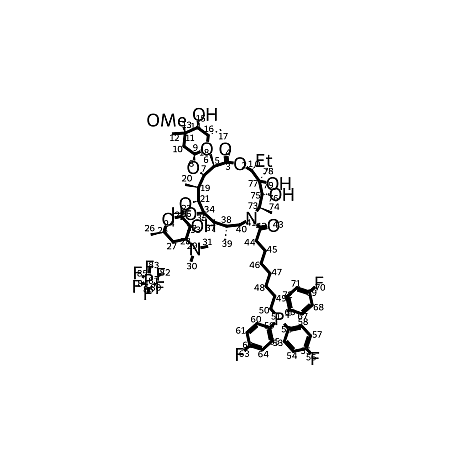 CC[C@H]1OC(=O)[C@H](C)[C@@H](O[C@H]2C[C@@](C)(OC)[C@@H](O)[C@H](C)O2)[C@H](C)[C@@H](O[C@@H]2O[C@H](C)C[C@H](N(C)C)[C@H]2O)[C@](C)(O)C[C@@H](C)CN(C(=O)CCCCCCC[P+](c2ccc(F)cc2)(c2ccc(F)cc2)c2ccc(F)cc2)[C@H](C)[C@@H](O)[C@]1(C)O.F[P-](F)(F)(F)(F)F